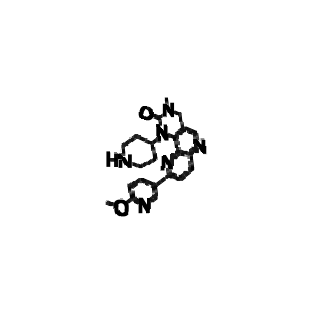 COc1ccc(-c2ccc3ncc4c(c3n2)N(C2CCNCC2)C(=O)N(C)C4)cn1